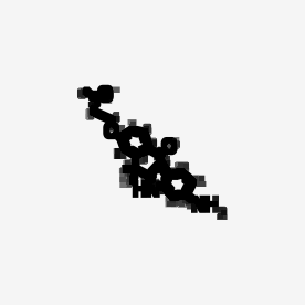 C[S+]([O-])CCOc1ccc2c(c1)C(C)(C)c1[nH]c3cc(N)ccc3c1C2=O